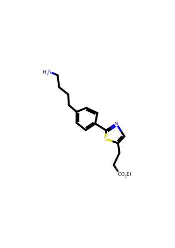 CCOC(=O)CCc1cnc(-c2ccc(CCCCN)cc2)s1